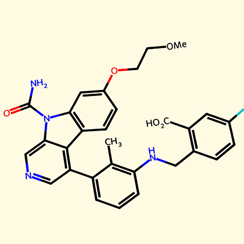 COCCOc1ccc2c3c(-c4cccc(NCc5ccc(F)cc5C(=O)O)c4C)cncc3n(C(N)=O)c2c1